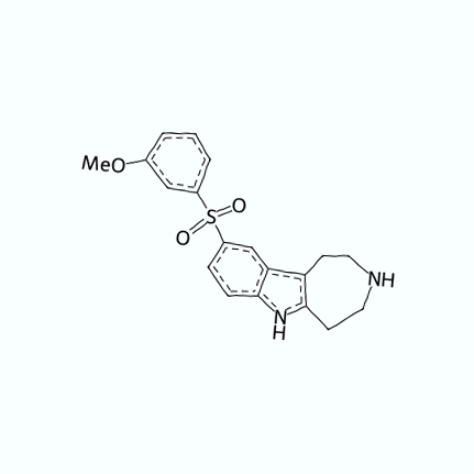 COc1cccc(S(=O)(=O)c2ccc3[nH]c4c(c3c2)CCNCC4)c1